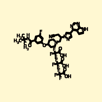 CC(C)(C)NC(=O)c1cc(F)cc(OC2CCN(CC(CC#N)n3cc(-c4ncnc5[nH]ccc45)cn3)CC2)c1.O=C(O)C(F)(F)F.O=C(O)C(F)(F)F.O=C(O)C(F)(F)F